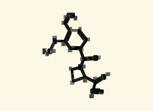 C=Cc1ccc(C(=O)N2CCC2C(=O)OC)cc1SC(F)(F)F